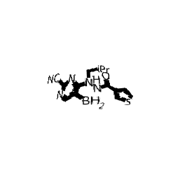 Bc1cnc(C#N)nc1N(CC(C)C)NC(=O)c1ccsc1